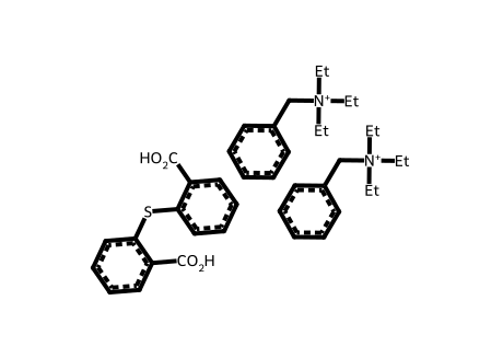 CC[N+](CC)(CC)Cc1ccccc1.CC[N+](CC)(CC)Cc1ccccc1.O=C(O)c1ccccc1Sc1ccccc1C(=O)O